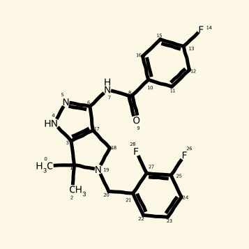 CC1(C)c2[nH]nc(NC(=O)c3ccc(F)cc3)c2CN1Cc1cccc(F)c1F